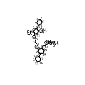 CCc1cc(-c2ccccc2)c(O)cc1OCCCOc1cc(-c2ccccc2)ccc1CCC(=O)O.[Na].[Na]